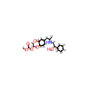 COC(=O)OC1COc2cc(CC(C)NCC(O)c3ccccc3)ccc2O1